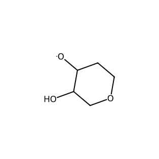 [O]C1CCOCC1O